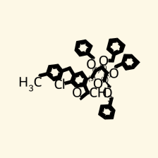 CCc1ccc(Cc2cc([C@@H]3O[C@H](COCc4ccccc4)[C@@H](OCc4ccccc4)[C@H](OCc4ccccc4)[C@H]3OCc3ccccc3)c3c(c2Cl)OCC3C)cc1